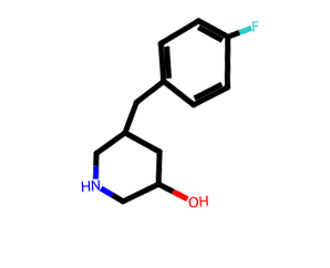 OC1CNCC(Cc2ccc(F)cc2)C1